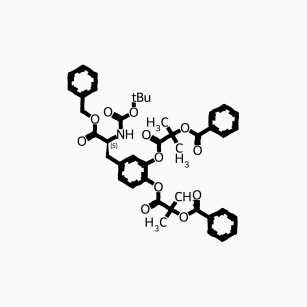 CC(C)(C)OC(=O)N[C@@H](Cc1ccc(OC(=O)C(C)(C)OC(=O)c2ccccc2)c(OC(=O)C(C)(C)OC(=O)c2ccccc2)c1)C(=O)OCc1ccccc1